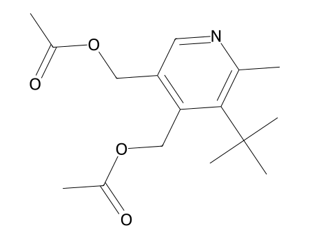 CC(=O)OCc1cnc(C)c(C(C)(C)C)c1COC(C)=O